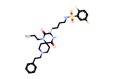 CCCN1C(=O)[C@H](CCCCNS(=O)(=O)c2cc(F)ccc2F)NC(=O)C12CCN(CCc1ccccc1)CC2